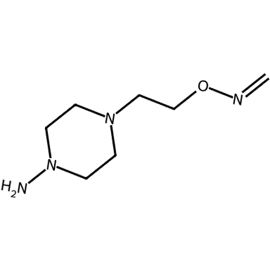 C=NOCCN1CCN(N)CC1